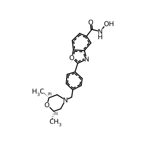 C[C@@H]1CN(Cc2ccc(-c3nc4cc(C(=O)NO)ccc4o3)cc2)C[C@H](C)O1